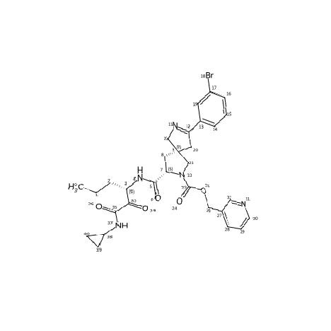 CCC[C@H](NC(=O)[C@@H]1C[C@@]2(CN=C(c3cccc(Br)c3)C2)CN1C(=O)OCc1cccnc1)C(=O)C(=O)NC1CC1